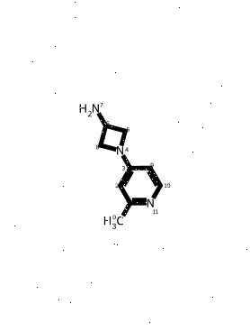 Cc1cc(N2CC(N)C2)ccn1